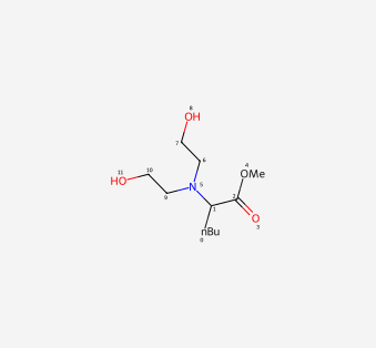 CCCCC(C(=O)OC)N(CCO)CCO